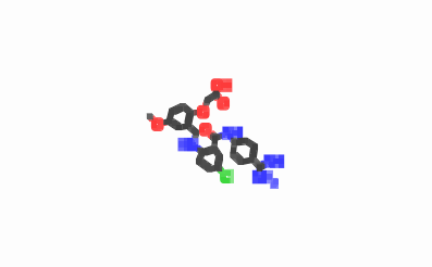 COc1ccc(OCC(=O)O)c(CNc2ccc(Cl)cc2C(=O)Nc2ccc(C(=N)N)cc2)c1